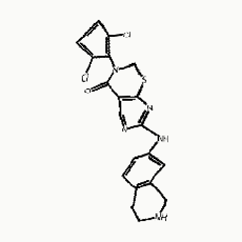 O=C1c2cnc(Nc3ccc4c(c3)CNCC4)nc2SCN1c1c(Cl)cccc1Cl